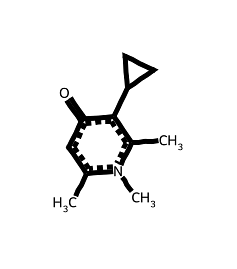 Cc1cc(=O)c(C2CC2)c(C)n1C